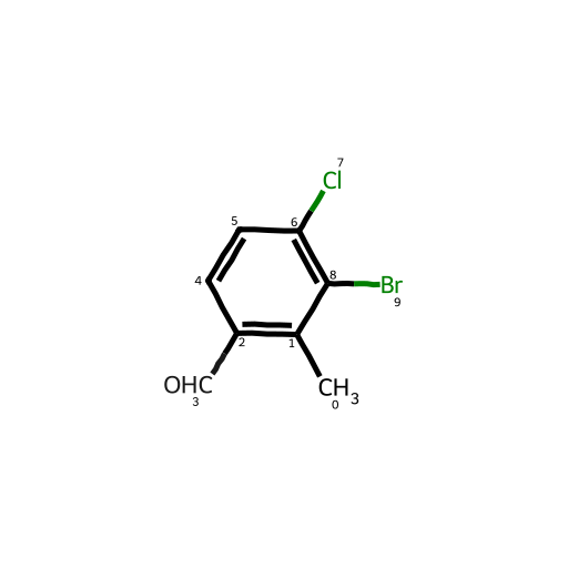 Cc1c(C=O)ccc(Cl)c1Br